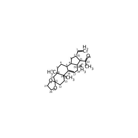 C=C[C@@H]1CC2C3CCC4(C)CC5(CCC4(C)C3=CC[C@]2(C)C1C(C)=O)OCCO5